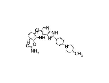 CN1CCN(c2ccc(-c3nc4c(N[C@H]5[C@@H](OC(N)=O)[C@@H]6C=C[C@H]5C6)c(Cl)cnc4[nH]3)cc2)CC1